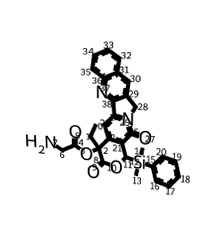 CCC1(OC(=O)CN)C(=O)OC([Si](C)(C)c2ccccc2)c2c1cc1n(c2=O)Cc2cc3ccccc3nc2-1